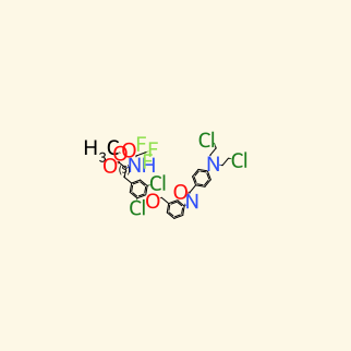 COC(=O)[C@H](Cc1cc(Cl)c(OCc2cccc3nc(-c4ccc(N(CCCl)CCCl)cc4)oc23)c(Cl)c1)NC(=O)C(F)(F)F